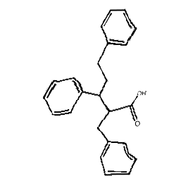 O=C(O)C(Cc1ccccc1)C(CCc1ccccc1)c1ccccc1